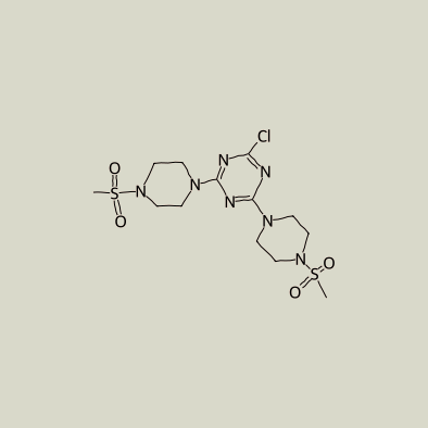 CS(=O)(=O)N1CCN(c2nc(Cl)nc(N3CCN(S(C)(=O)=O)CC3)n2)CC1